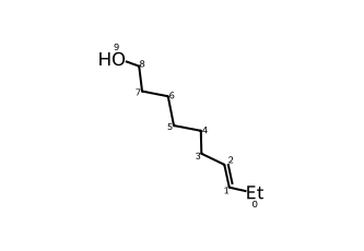 CCC=CCCCCCCO